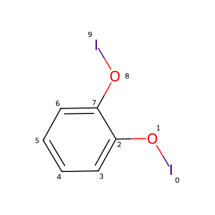 IOc1ccccc1OI